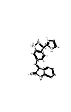 O=C1Nc2ccccc2/C1=C\c1ccc2c(-c3nccs3)n[nH]c2c1